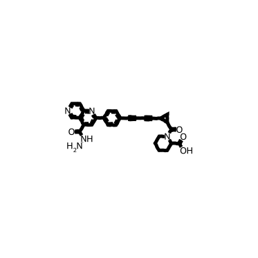 NNC(=O)c1cc(-c2ccc(C#CC#CC3CC3C(=O)N3CCCCC3C(=O)O)cc2)nc2ccncc12